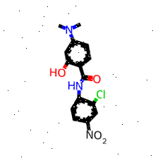 CN(C)c1ccc(C(=O)Nc2ccc([N+](=O)[O-])cc2Cl)c(O)c1